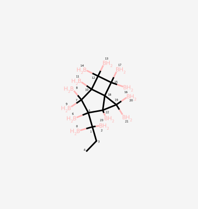 BC(B)(CC)C1(B)C(B)(B)C2(B)C(B)(B)C(B)(B)C23C(B)(B)C13B